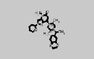 CC(c1ccc2nccnc2c1)N1C[C@H](C)N(c2cc(=O)n(C)c3cn(C4CCCCO4)nc23)C[C@H]1C